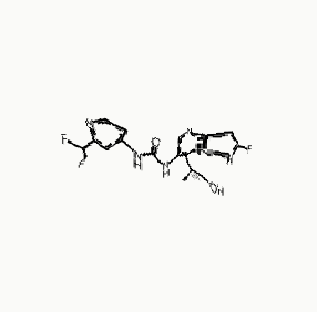 C[C@H](O)c1c(NC(=O)Nc2ccnc(C(F)F)c2)cnc2cc(F)nn12